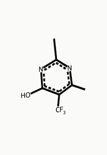 Cc1nc(C)c(C(F)(F)F)c(O)n1